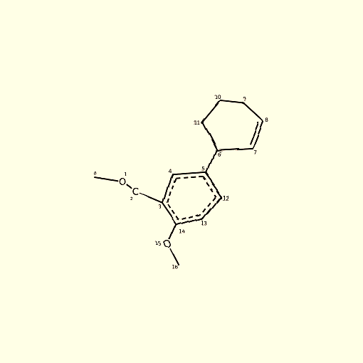 COCc1cc(C2C=CCCC2)ccc1OC